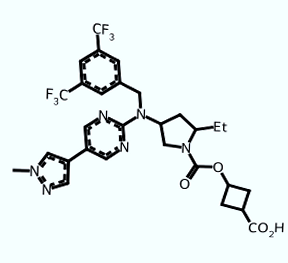 CCC1CC(N(Cc2cc(C(F)(F)F)cc(C(F)(F)F)c2)c2ncc(-c3cnn(C)c3)cn2)CN1C(=O)OC1CC(C(=O)O)C1